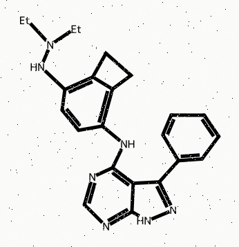 CCN(CC)Nc1ccc(Nc2ncnc3[nH]nc(-c4ccccc4)c23)c2c1CC2